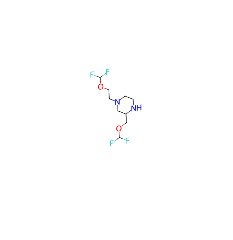 FC(F)OCCN1CCNC(COC(F)F)C1